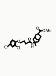 COC(=O)C1CC2CC(C1)CC(C)(NC(=O)CCCOc1ccc(Cl)cc1Cl)C2